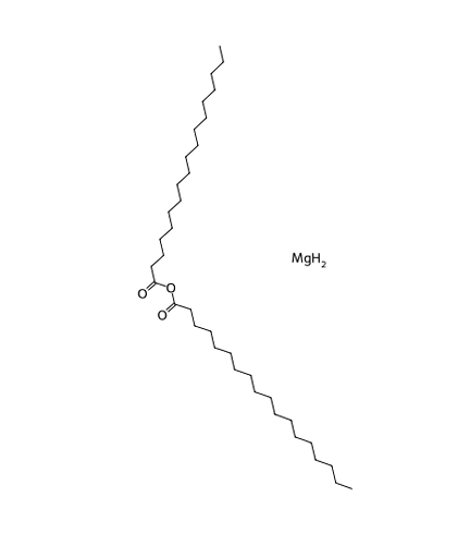 CCCCCCCCCCCCCCCCCC(=O)OC(=O)CCCCCCCCCCCCCCCCC.[MgH2]